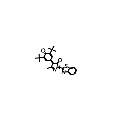 CC1=NN(c2nc3ccccc3s2)C(=O)C1=C1C=C(C(C)(C)C)C(=O)C(C(C)(C)C)=C1